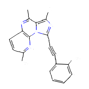 COc1ccc2nc(C)c3c(C)nc(C#Cc4ccccc4OC)n3c2n1